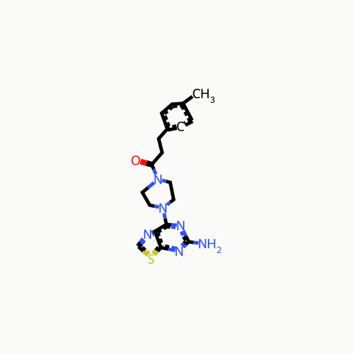 Cc1ccc(CCC(=O)N2CCN(c3nc(N)nc4scnc34)CC2)cc1